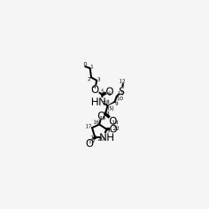 CCCCOC(=O)N[C@@H](CCSC)C(=O)OC1CC(=O)NC1=O